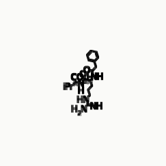 CC(C)[C@H](NC(=O)[C@H](CCCNC(=N)N)NC(=O)Cc1ccccc1)C(=O)O